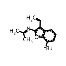 C=Cc1c(N=C(C)C)oc2c(C(C)(C)C)cccc12